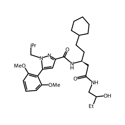 CCC(O)CNC(=O)C[C@H](CCC1CCCCC1)NC(=O)c1cc(-c2c(OC)cccc2OC)n(CC(C)C)n1